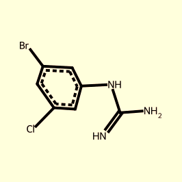 N=C(N)Nc1cc(Cl)cc(Br)c1